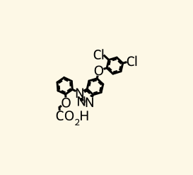 O=C(O)COc1ccccc1-n1nnc2ccc(Oc3ccc(Cl)cc3Cl)cc21